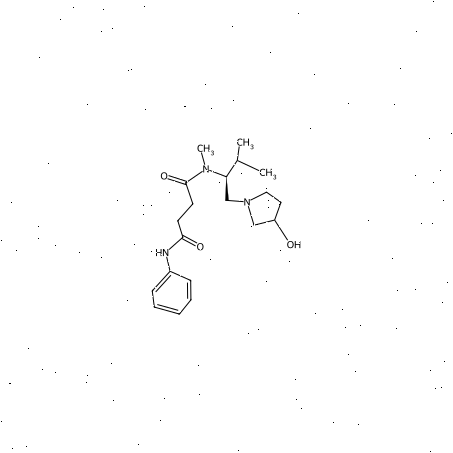 CC(C)[C@@H](CN1CCC(O)C1)N(C)C(=O)CCC(=O)Nc1ccccc1